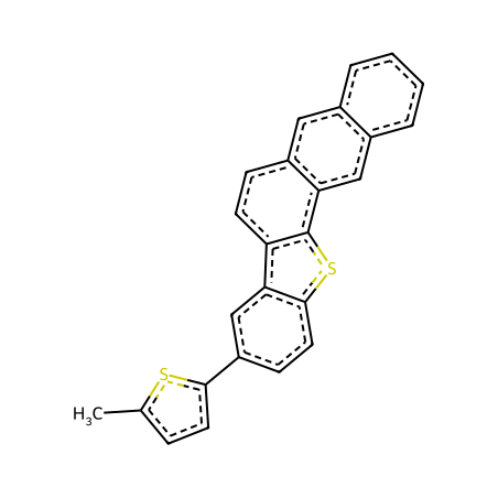 Cc1ccc(-c2ccc3sc4c5cc6ccccc6cc5ccc4c3c2)s1